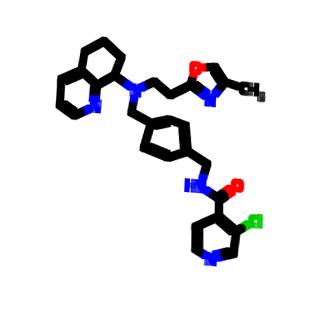 Cc1coc(CCN(Cc2ccc(CNC(=O)c3ccncc3Cl)cc2)C2CCCc3cccnc32)n1